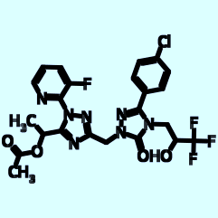 CC(=O)OC(C)c1nc(Cn2nc(-c3ccc(Cl)cc3)n(CC(O)C(F)(F)F)c2=O)nn1-c1ncccc1F